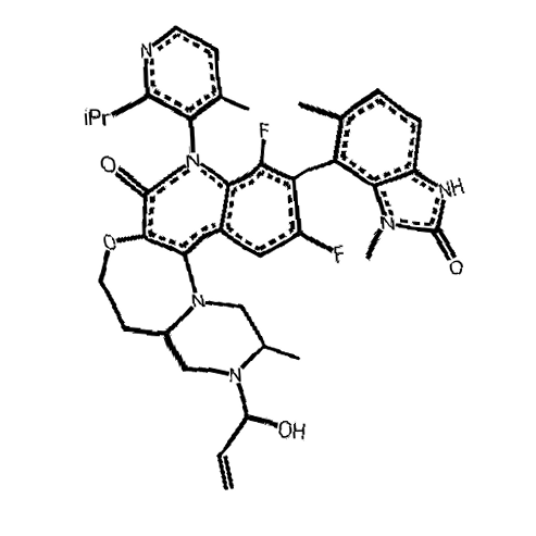 C=CC(O)N1CC2CCOc3c(c4cc(F)c(-c5c(C)ccc6[nH]c(=O)n(C)c56)c(F)c4n(-c4c(C)ccnc4C(C)C)c3=O)N2CC1C